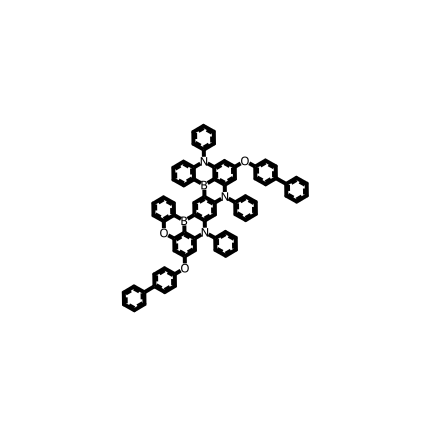 c1ccc(-c2ccc(Oc3cc4c5c(c3)N(c3ccccc3)c3cc6c(cc3B5c3ccccc3O4)B3c4ccccc4N(c4ccccc4)c4cc(Oc5ccc(-c7ccccc7)cc5)cc(c43)N6c3ccccc3)cc2)cc1